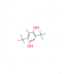 Cc1c(O)c(C(C)(C)C)cc(O)c1C(C)(C)C